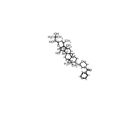 C[C@@H]1C[C@H]([C@H](O)C(C)(C)O)O[C@H]2C1[C@@]1(C)CC[C@@]34CC35CCC(OC3CN(C(=O)c6ccncc6)CCO3)C(C)(C)[C@@H]5CC[C@H]4[C@]1(C)[C@H]2O